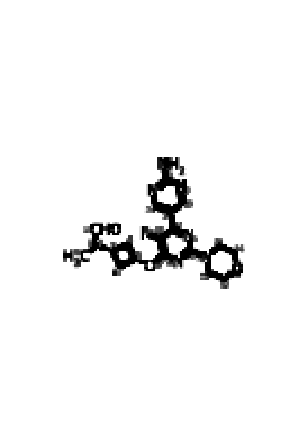 CN(C=O)[C@H]1C[C@H](Oc2nc(N3CCOCC3)nc(-c3cnc(N)nc3)c2F)C1